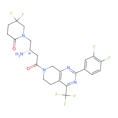 N[C@@H](CC(=O)N1CCc2c(nc(-c3ccc(F)c(F)c3)nc2C(F)(F)F)C1)CN1CC(F)(F)CCC1=O